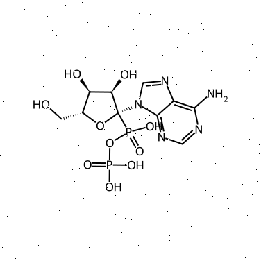 Nc1ncnc2c1ncn2[C@]1(P(=O)(O)OP(=O)(O)O)O[C@H](CO)[C@@H](O)[C@H]1O